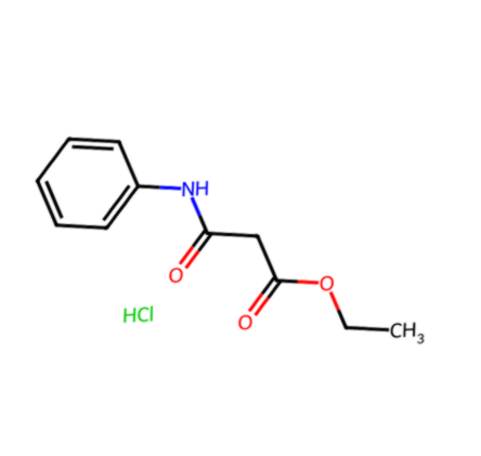 CCOC(=O)CC(=O)Nc1ccccc1.Cl